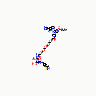 CNC(=O)N1CCc2c(c(N3CCCc4cc(-c5cnn(C)c5)c(C(F)F)cc43)nn2C2CCN(C(=O)CCOCCOCCOCCOCCOCCC(=O)N[C@H](C(=O)N3C[C@@H](O)C[C@H]3C(=O)NCc3ccc(-c4scnc4C)cc3)C(C)(C)C)CC2)C1